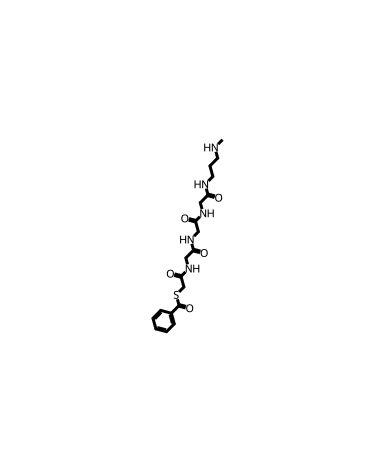 CNCCCNC(=O)CNC(=O)CNC(=O)CNC(=O)CSC(=O)c1ccccc1